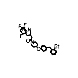 CCc1ccccc1Cc1ccc(OC2CCN(C(=O)CC(CN)Cc3cc(F)c(F)cc3F)CC2)cc1